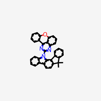 CC1(C)c2ccccc2-c2c1ccc1c3ccccc3n(-c3nc4c5c(cccc5n3)Oc3ccccc3-4)c21